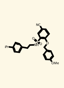 COc1ccc(COc2ccc(C#N)cc2S(=O)(=O)NCCc2ccc(C(C)C)cc2)cc1